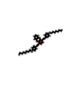 CCCCCCCCOc1ccc(C#Cc2ccc(C#Cc3ccc(OCCCCCCCC)cc3)c3c2C2c4ccccc4C3c3ccccc32)cc1